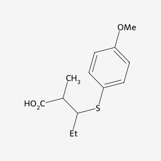 CCC(Sc1ccc(OC)cc1)C(C)C(=O)O